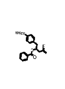 C=C(F)CC(Cc1ccc(CCCCCC)cc1)OC(=O)c1ccccc1